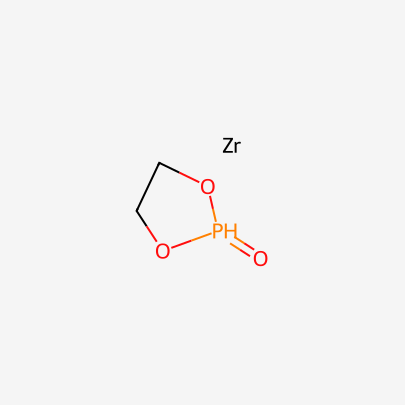 O=[PH]1OCCO1.[Zr]